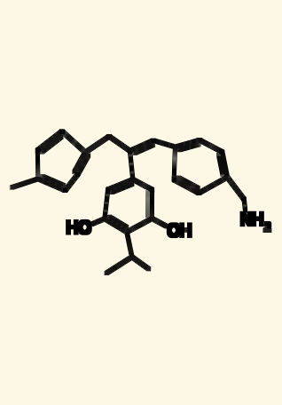 Cc1ccc(C/C(=C/c2ccc(CN)cc2)c2cc(O)c(C(C)C)c(O)c2)cc1